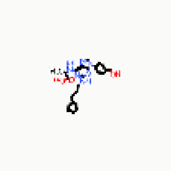 CC(Nc1nc(NCCCc2ccccc2)nc2c1ncn2-c1ccc(CO)cc1)C(=O)O